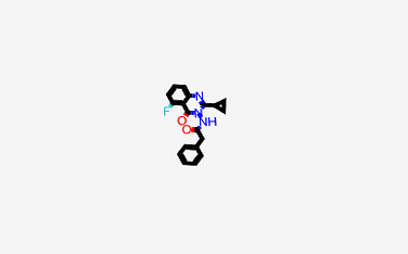 O=C(Cc1ccccc1)Nn1c(C2CC2)nc2cccc(F)c2c1=O